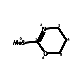 CSC1=NCCCO1